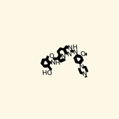 COc1cc(N2CCN(C)CC2)ccc1Nc1ncc2c(n1)-n1ccc(C(=O)Nc3c(C)cccc3CO)c1CC2